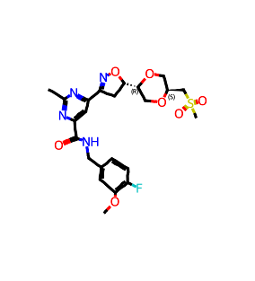 COc1cc(CNC(=O)c2cc(C3=NOC([C@H]4CO[C@H](CS(C)(=O)=O)CO4)C3)nc(C)n2)ccc1F